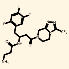 NCCC(=O)NC(CC(=O)N1CCn2c(nnc2C(F)(F)F)C1)Cc1cc(F)c(F)cc1F